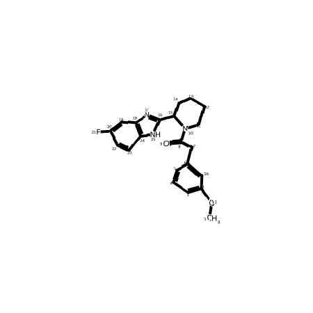 COc1cccc(CC(=O)N2CCCCC2c2nc3cc(F)ccc3[nH]2)c1